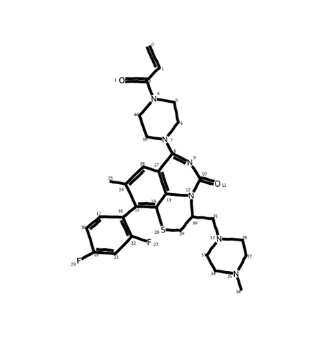 C=CC(=O)N1CCN(c2nc(=O)n3c4c(c(-c5ccc(F)cc5F)c(C)cc24)SCC3CN2CCN(C)CC2)CC1